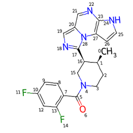 C[C@H]1CCN(C(=O)c2ccc(F)cc2F)C[C@H]1c1ncc2cnc3[nH]ccc3n12